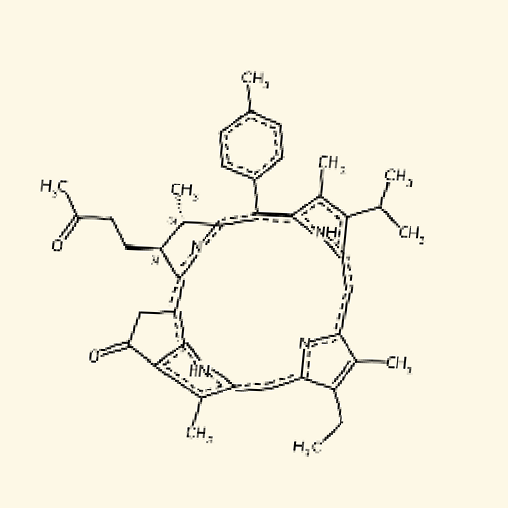 CCC1=C(C)c2cc3[nH]c(c(C)c3C(C)C)c(-c3ccc(C)cc3)c3nc(c4c5[nH]c(cc1n2)c(C)c5C(=O)C4)[C@@H](CCC(C)=O)[C@@H]3C